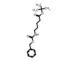 CC(C)(C)OC(=O)CCCCNC(=O)OCc1ccccc1